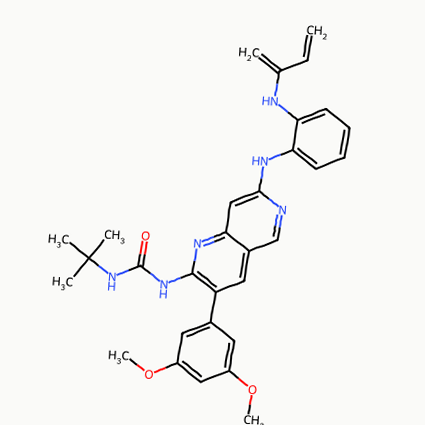 C=CC(=C)Nc1ccccc1Nc1cc2nc(NC(=O)NC(C)(C)C)c(-c3cc(OC)cc(OC)c3)cc2cn1